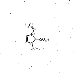 C=CN1C=CN(CCC)C1S(=O)(=O)O